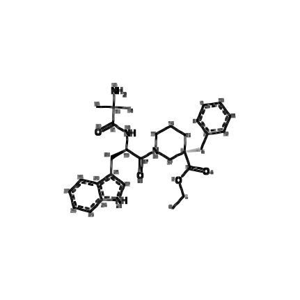 CCOC(=O)[C@]1(Cc2ccccc2)CCCN(C(=O)[C@@H](Cc2c[nH]c3ccccc23)NC(=O)C(C)(C)N)C1